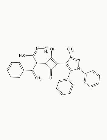 C=C(c1ccccc1)C(/C(C)=N\C)C1C(=O)C(c2c(C)nn(-c3ccccc3)c2-c2ccccc2)=C1O